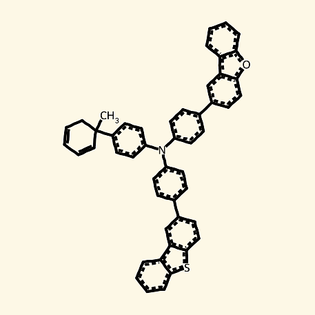 CC1(c2ccc(N(c3ccc(-c4ccc5oc6ccccc6c5c4)cc3)c3ccc(-c4ccc5sc6ccccc6c5c4)cc3)cc2)C=CC=CC1